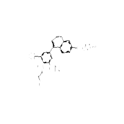 COc1ccc2c(c1)CCC=C2c1cc(Cl)c(OCCCl)c(C#N)c1